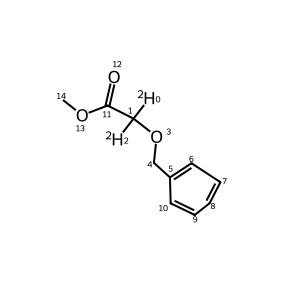 [2H]C([2H])(OCc1ccccc1)C(=O)OC